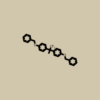 CC(c1ccc(OCc2ccccc2)cc1)(c1ccc(OCc2ccccc2)cc1)C(F)(F)F